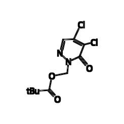 CC(C)(C)C(=O)OCn1ncc(Cl)c(Cl)c1=O